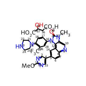 COc1ncc(-c2ccc3ncc4c(c3c2)n(-c2ccc(N3CCNCC3)c(C(F)(F)F)c2)c(=O)n4C)cn1.O=C(O)CC(O)C(=O)O